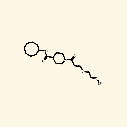 CCCOCCOCCC(=O)N1CCC(C(=O)NC2CCCCCCC2)CC1